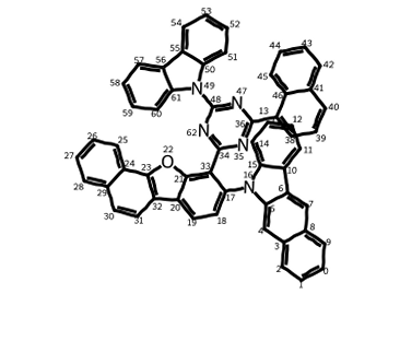 c1ccc2cc3c(cc2c1)c1ccccc1n3-c1ccc2c(oc3c4ccccc4ccc23)c1-c1nc(-c2cccc3ccccc23)nc(-n2c3ccccc3c3ccccc32)n1